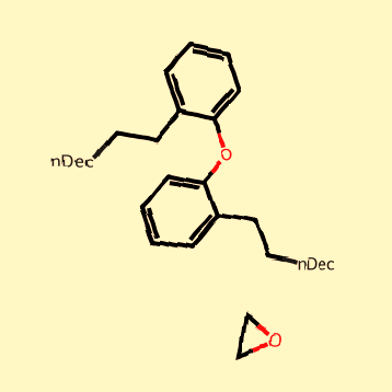 C1CO1.CCCCCCCCCCCCc1ccccc1Oc1ccccc1CCCCCCCCCCCC